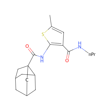 CCCNC(=O)c1cc(C)sc1NC(=O)C12CC3CC(CC1C3)C2